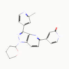 Cc1cc(-c2nn(C3CCCCO3)c3ccc(-c4cc[nH]c(=O)c4)nc23)ccn1